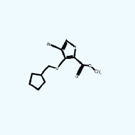 COC(=O)c1scc(Br)c1OCC1CCCC1